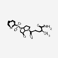 CC(C[CH]C(=O)N1CCC2C1C(=O)CN2S(=O)(=O)c1ccccn1)C(N)=O